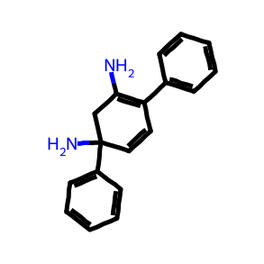 NC1=C(c2ccccc2)C=CC(N)(c2ccccc2)C1